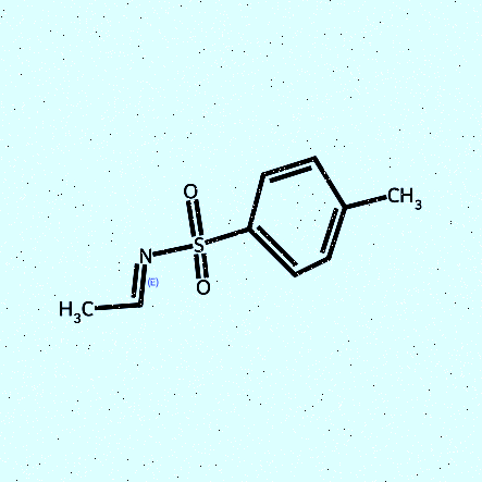 C/C=N/S(=O)(=O)c1ccc(C)cc1